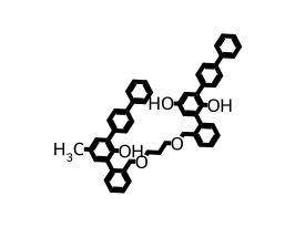 Cc1cc(-c2ccc(-c3ccccc3)cc2)c(O)c(-c2ccccc2COCCCOCc2ccccc2-c2cc(O)cc(-c3ccc(-c4ccccc4)cc3)c2O)c1